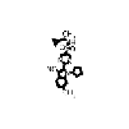 Cc1ccc2c(C#N)c(-c3ncc(S(=O)(=O)N[C@@H](C)C4CC4)cn3)n(C3CCCC3)c2c1